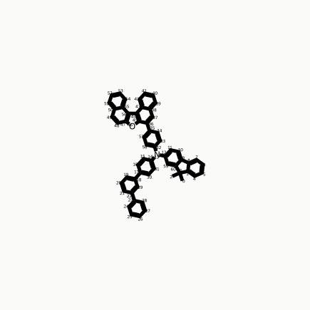 CC1(C)c2ccccc2-c2ccc(N(c3ccc(-c4cccc(-c5ccccc5)c4)cc3)c3ccc(-c4cc5ccccc5c5c4oc4ccc6ccccc6c45)cc3)cc21